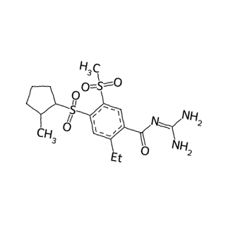 CCc1cc(S(=O)(=O)C2CCCC2C)c(S(C)(=O)=O)cc1C(=O)N=C(N)N